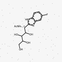 CC(=O)N[C@H](c1nc2cc(F)ccc2[nH]1)C(O)C(O)C(O)CO